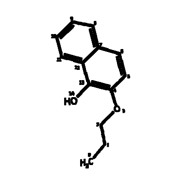 CCCOc1ccc2ccccc2c1O